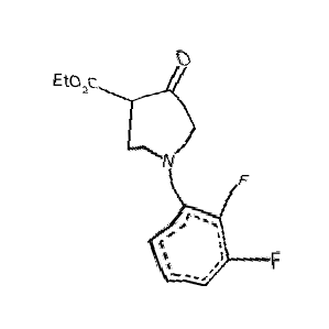 CCOC(=O)C1CN(c2cccc(F)c2F)CC1=O